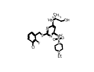 CCN1CCN(S(=O)(=O)Nc2cc(N[C@H](C)CO)nc(SCc3cccc(Cl)c3F)n2)CC1